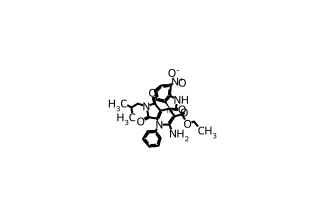 CCOC(=O)C1=C(N)N(c2ccccc2)C2=C(C(=O)N(CC(C)C)C2=O)[C@]12C(=O)Nc1c([N+](=O)[O-])cccc12